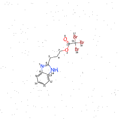 O=C(OCCCc1nc2ccccc2[nH]1)C(Br)(Br)Br